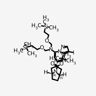 CC(C)(C)OC(=O)N1[C@@H]2CC[C@H]1C[C@@H](c1cc(N(COCC[Si](C)(C)C)COCC[Si](C)(C)C)n3ncc(I)c3n1)C2